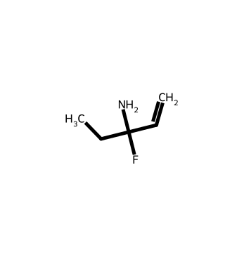 C=CC(N)(F)CC